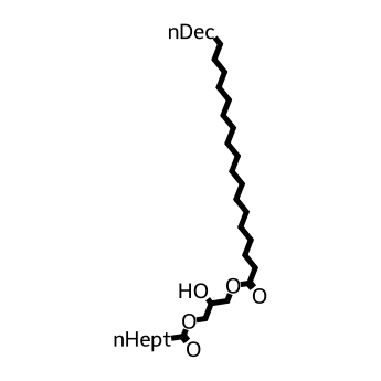 CCCCCCCCCCCCCCCCCCCCCCCCCCCC(=O)OCC(O)COC(=O)CCCCCCC